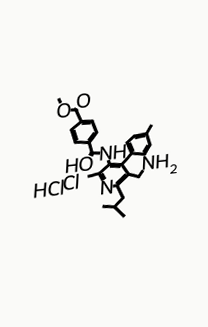 COC(=O)c1ccc(C(=O)Nc2c(C)nc(CC(C)C)c(CN)c2-c2ccc(C)cc2)cc1.Cl.Cl